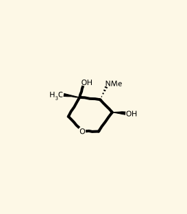 CN[C@@H]1[C@@H](O)COC[C@]1(C)O